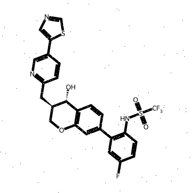 O=S(=O)(Nc1ccc(F)cc1-c1ccc2c(c1)OC[C@@H](Cc1ccc(-c3cncs3)cn1)[C@@H]2O)C(F)(F)F